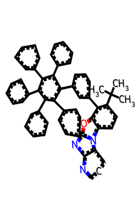 CC(C)(C)c1ccc2c(oc3nc4ncccc4n32)c1-c1cccc(-c2c(-c3ccccc3)c(-c3ccccc3)c(-c3ccccc3)c(-c3ccccc3)c2-c2ccccc2)c1